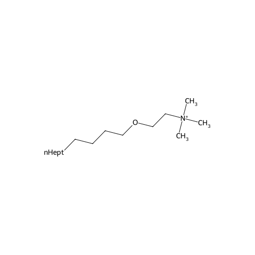 CCCCCCCCCCCOCC[N+](C)(C)C